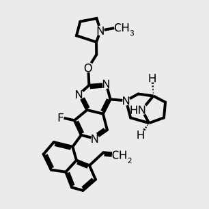 C=Cc1cccc2cccc(-c3ncc4c(N5C[C@H]6CC[C@@H](C5)N6)nc(OCC5CCCN5C)nc4c3F)c12